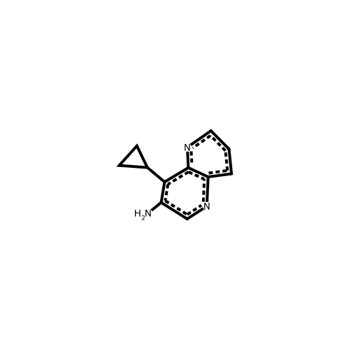 Nc1cnc2cccnc2c1C1CC1